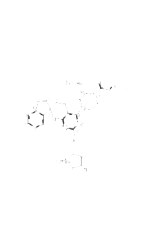 C=CC(=O)N1CCN(c2nc(OC[C@@H]3C[C@@H](F)CN3C)nc3c2CC[C@@]2(CCc4ccccc42)C3)C[C@@H]1CC#N